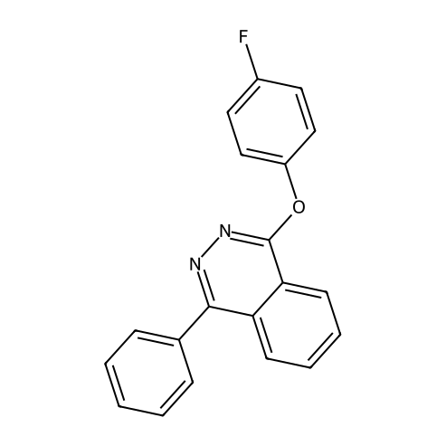 Fc1ccc(Oc2nnc(-c3ccccc3)c3ccccc23)cc1